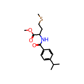 COC(=O)C(CCSC)NC(=O)c1ccc(C(C)C)cc1